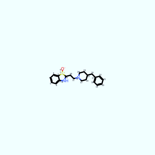 [O-][S+]1c2ccccc2NC1CCN1CCC(Cc2ccccc2)CC1